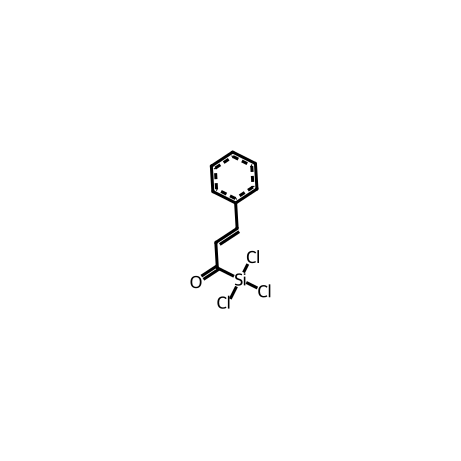 O=C(C=Cc1ccccc1)[Si](Cl)(Cl)Cl